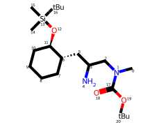 CN(CC(N)C[C@@H]1CCCC[C@H]1O[Si](C)(C)C(C)(C)C)C(=O)OC(C)(C)C